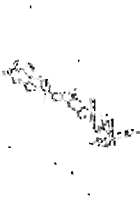 CC[C@H]1CC[C@@H](c2ncc(-c3ccc4c(c3)COc3cc5c(ccc6nc([C@@H]7C[C@H](C)CN7C(=O)[C@@H](NC(=O)OC)[C@@H](C)OC)[nH]c65)cc3-4)[nH]2)N1C(=O)C(NC(=O)OC)C(C)C